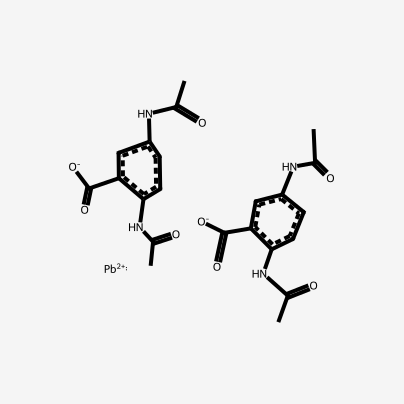 CC(=O)Nc1ccc(NC(C)=O)c(C(=O)[O-])c1.CC(=O)Nc1ccc(NC(C)=O)c(C(=O)[O-])c1.[Pb+2]